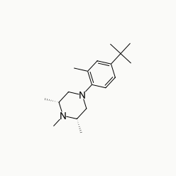 Cc1cc(C(C)(C)C)ccc1N1C[C@@H](C)N(C)[C@@H](C)C1